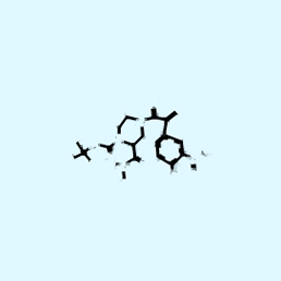 C=C(C(=O)N1CCN(C(=O)OC(C)(C)C)C(C(=O)N(C)C)C1)c1ccc(S)c([N+](=O)[O-])c1